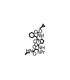 C=CCNC(=O)C(=O)C(CCC)NC(=O)[C@@H]1CC[C@H](C)N1C(=O)[C@@H](NC(=O)OCC1CC1)C1CCCCC1